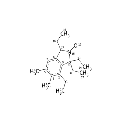 CCc1c(C)c(C)cc2c1C(CC)(CC)N([O])C2CC